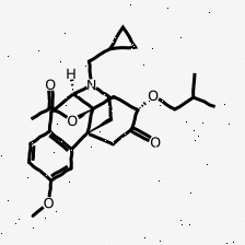 COc1ccc2c(c1)[C@]13CCN(CC4CC4)[C@H](C2)[C@]1(OC(C)=O)C[C@H](OCC(C)C)C(=O)C3